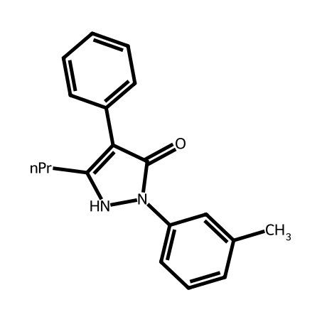 CCCc1[nH]n(-c2cccc(C)c2)c(=O)c1-c1ccccc1